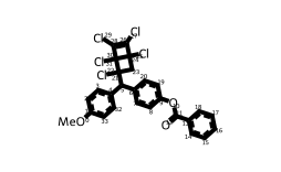 COc1ccc(C(c2ccc(OC(=O)c3ccccc3)cc2)C2(Cl)CC3(Cl)C(Cl)=C(Cl)C32Cl)cc1